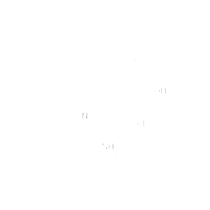 Nc1nc(C2CC2)cc(C(=O)O)c1Cl